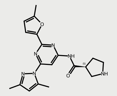 Cc1cc(C)n(-c2cc(NC(=O)[C@H]3CCNC3)nc(-c3ccc(C)o3)n2)n1